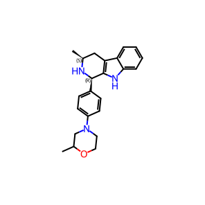 CC1CN(c2ccc([C@H]3N[C@@H](C)Cc4c3[nH]c3ccccc43)cc2)CCO1